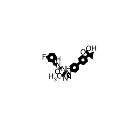 Cc1nnn(-c2ccc(-c3ccc(C4(C(=O)O)CC4)cc3)cc2)c1NC(=O)NCc1cccc(F)c1